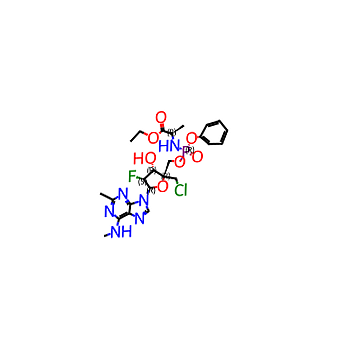 CCOC(=O)[C@@H](C)N[P@@](=O)(OC[C@@]1(CCl)O[C@@H](n2cnc3c(NC)nc(C)nc32)[C@@H](F)[C@@H]1O)Oc1ccccc1